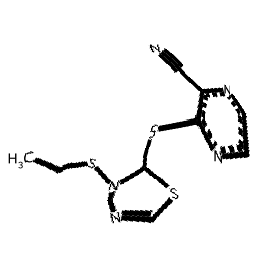 CCSN1N=CSC1Sc1nccnc1C#N